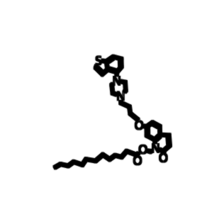 CCCCCCCCCCCCC(=O)OCn1c(=O)ccc2ccc(OCCCCN3CCN(c4cccc5sccc45)CC3)cc21